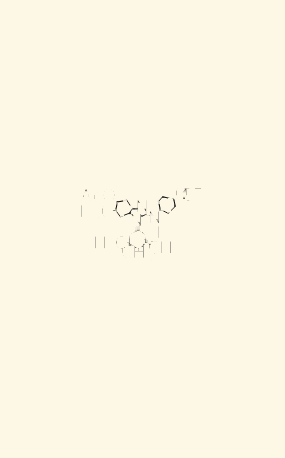 CC(=O)Oc1cc2nc(Nc3ccc(OC(F)(F)F)cc3)n([C@@H]3C[C@H](C)CC(C)(C)C3)c2cc1C